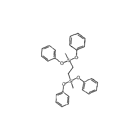 C[Si](CC[Si](C)(Oc1ccccc1)Oc1ccccc1)(Oc1ccccc1)Oc1ccccc1